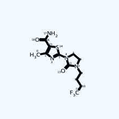 Cc1nc(N2CCN(CCCC(F)(F)F)C2=O)sc1C(N)=O